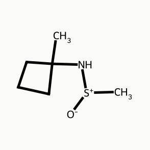 C[S+]([O-])NC1(C)CCC1